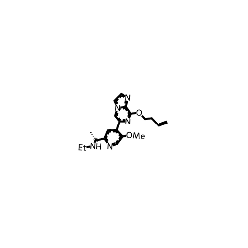 C=CCCOc1nc(-c2cc([C@@H](C)NCC)ncc2OC)cn2ccnc12